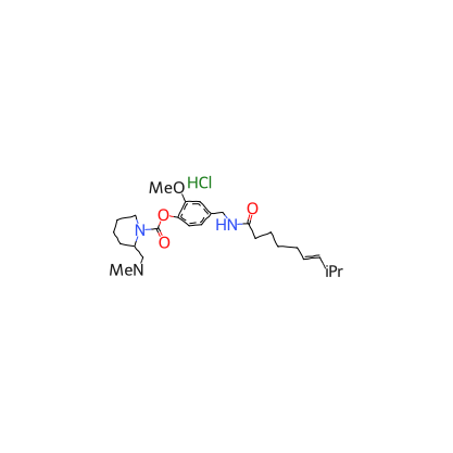 CNCC1CCCCN1C(=O)Oc1ccc(CNC(=O)CCCC/C=C/C(C)C)cc1OC.Cl